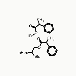 CC(C)OC(=O)C(C)c1ccccc1.CCCCCCC(CCCC)COC(=O)C(C)c1ccccc1